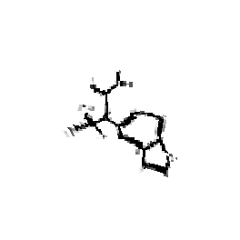 CNC(C)C(c1ccc2occc2c1)C(F)(F)F